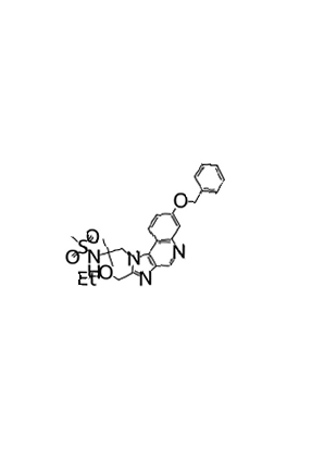 CCOCc1nc2cnc3cc(OCc4ccccc4)ccc3c2n1CC(C)(C)NS(C)(=O)=O